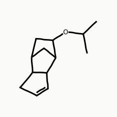 CC(C)OC1CC2CC1C1C=CCC21